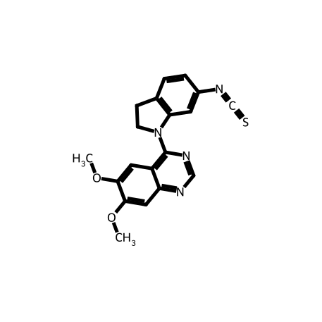 COc1cc2ncnc(N3CCc4ccc(N=C=S)cc43)c2cc1OC